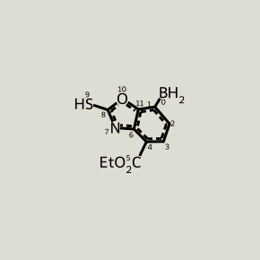 Bc1ccc(C(=O)OCC)c2nc(S)oc12